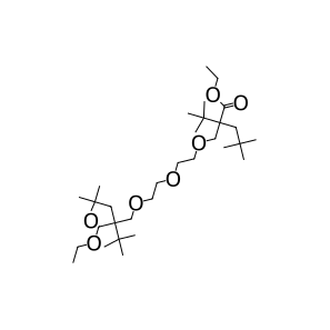 CCOC(=O)C(COCCOCCOCC(CC(C)(C)C)(C(=O)OCC)C(C)(C)C)(CC(C)(C)C)C(C)(C)C